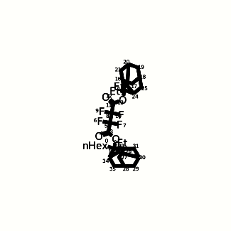 CCCCCCC1(OC(=O)C(F)(F)C(F)(F)C(=O)OC2(CC)C3CC4CC(C3)C(CC)C2C4)C2CC3CC(C2)C(CC)C1C3